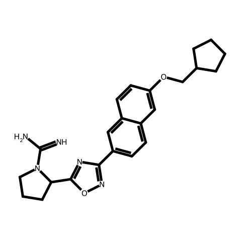 N=C(N)N1CCCC1c1nc(-c2ccc3cc(OCC4CCCC4)ccc3c2)no1